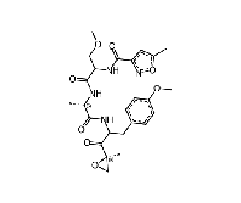 COCC(NC(=O)c1cc(C)on1)C(=O)N[C@@H](C)C(=O)NC(Cc1ccc(OC)cc1)C(=O)[C@@]1(C)CO1